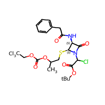 CC(CS[C@H]1[C@@H](NC(=O)Cc2ccccc2)C(=O)N1C(Cl)C(=O)OC(C)(C)C)OC(=O)OCC(Cl)(Cl)Cl